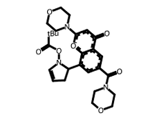 CC(C)(C)C(=O)ON1C=CCC1c1cc(C(=O)N2CCOCC2)cc2c(=O)cc(N3CCOCC3)oc12